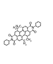 Cc1cc2c3c(cc(C)c4c5c(C)cc6c7c(cc(C)c(c1c34)c75)C(=O)N(c1ccccc1)C6=O)C(=O)N(c1ccccc1)C2=O